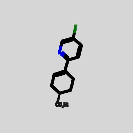 CCOC(=O)[C@@H]1CC=C(c2ccc(F)cn2)CC1